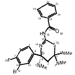 CNC1(NC)C[C@@](NC)(c2ccc(F)c(Br)c2)N=C(NC(=O)c2ccccc2)S1